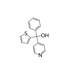 OC(c1ccccc1)(c1ccncc1)c1cccs1